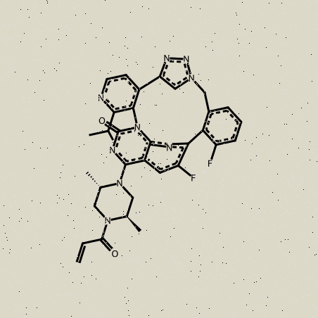 C=CC(=O)N1C[C@H](C)N(c2nc(=O)n3c4nc(c(F)cc24)-c2c(F)cccc2Cn2cc(nn2)-c2ccnc(C(C)C)c2-3)C[C@H]1C